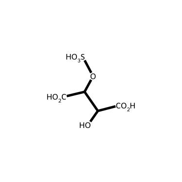 O=C(O)C(O)C(OS(=O)(=O)O)C(=O)O